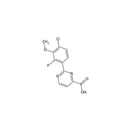 COc1c(Cl)ccc(-c2nccc(C(=O)O)n2)c1F